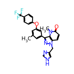 Cc1cc(Oc2ccc(C(F)(F)F)cc2)cc(-c2nn(Cc3c[nH]cn3)c3ccc(=O)n(C)c23)c1